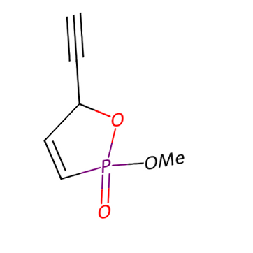 C#CC1C=CP(=O)(OC)O1